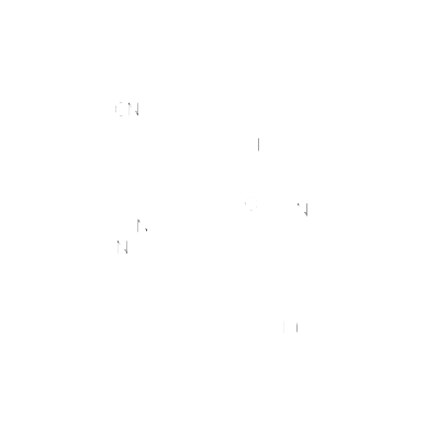 CCC#Cc1cc2cnn(-c3ccc(C#N)cc3)c2cc1COc1ncccc1I